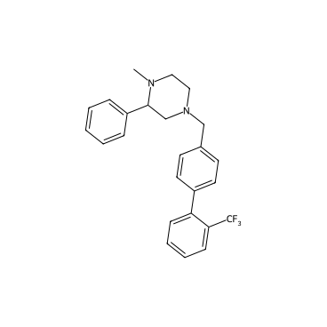 CN1CCN(Cc2ccc(-c3ccccc3C(F)(F)F)cc2)CC1c1ccccc1